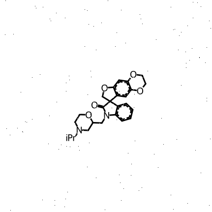 CC(C)N1CCOC(CN2C(=O)C3(COc4cc5c(cc43)OCCO5)c3ccccc32)C1